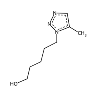 Cc1cnnn1CCCCCO